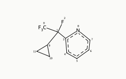 FC(F)(F)C(F)(c1ccccn1)C1CC1